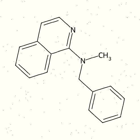 CN(Cc1ccccc1)c1nccc2ccccc12